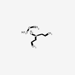 C=CCN(C)CC=C.NOS(=O)(=O)O